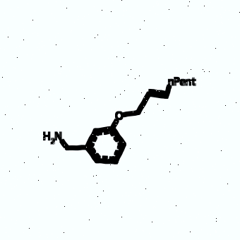 CCCCCC=CCOc1cccc(CN)c1